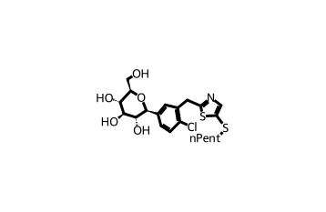 CCCCCSc1cnc(Cc2cc([C@@H]3O[C@H](CO)[C@@H](O)[C@H](O)[C@H]3O)ccc2Cl)s1